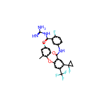 Cc1cc(F)ccc1Oc1cc(C(F)(F)F)c(C2(F)CC2)cc1C(=O)Nc1ccc(F)c(C(=O)NC(=N)N)c1